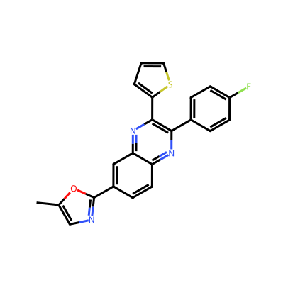 Cc1cnc(-c2ccc3nc(-c4ccc(F)cc4)c(-c4cccs4)nc3c2)o1